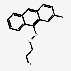 Cc1ccc2cc3ccccc3c(OOCCC(C)C)c2c1